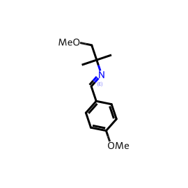 COCC(C)(C)/N=C/c1ccc(OC)cc1